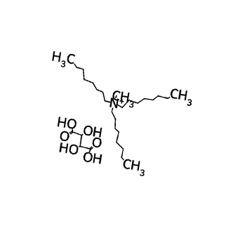 CCCCCCCC[N+](C)(CCCCCCCC)CCCCCCCC.O=C(O)C(O)C(O)C(=O)O